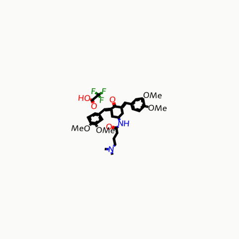 COc1ccc(/C=C2\CC(NC(=O)CCCN(C)C)C/C(=C\c3ccc(OC)c(OC)c3)C2=O)cc1OC.O=C(O)C(F)(F)F